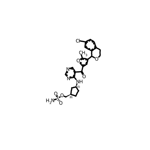 Cc1oc(C(=O)c2cncnc2N[C@H]2CC[C@@H](COS(N)(=O)=O)C2)cc1C1OCCc2ccc(Cl)cc21